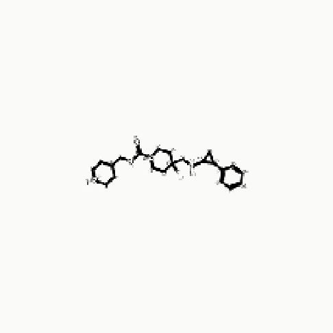 O=C(OCC1CCNCC1)N1CCC(F)(CNC2CC2c2ccccc2)CC1